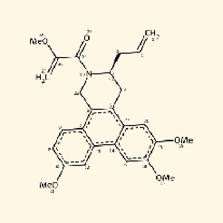 C=CC[C@H]1Cc2c(c3ccc(OC)cc3c3cc(OC)c(OC)cc23)CN1C(=O)C(=C)OC